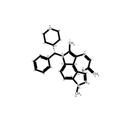 C=C(Br)/C=N\c1c(C)n([C@H](c2ccccc2)C2CCOCC2)c2ccc3c(cnn3C)c12